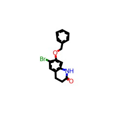 O=C1CCc2cc(Br)c(OCc3ccccc3)cc2N1